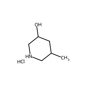 CC1CNCC(O)C1.Cl